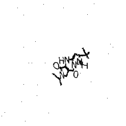 [2H]N1C(C(C)(C)C)C=C2NC3=C(CN(C(C)C)C3=O)C(=O)N21